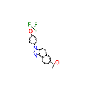 CC(=O)c1ccc2c(ccc3c2ncn3-c2ccc(OC(F)(F)F)cc2)c1